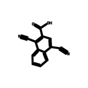 N#Cc1cc(C(=O)O)c(C#N)c2ccccc12